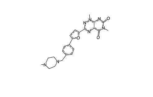 CN1CCN(Cc2ccc(-c3ccc(-c4nc5c(=O)n(C)c(=O)nc-5n(C)n4)o3)cc2)CC1